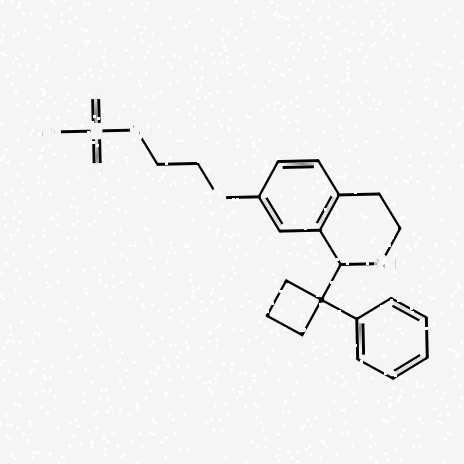 CCCS(=O)(=O)NCCOc1ccc2c(c1)C(C1(c3ccccc3)CCC1)NCC2